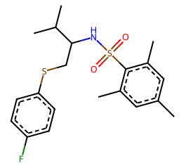 Cc1cc(C)c(S(=O)(=O)NC(CSc2ccc(F)cc2)C(C)C)c(C)c1